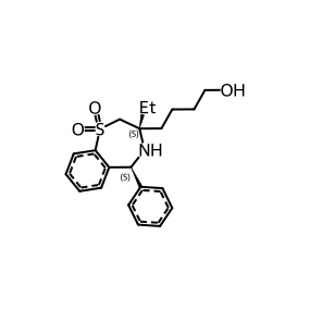 CC[C@]1(CCCCO)CS(=O)(=O)c2ccccc2[C@H](c2ccccc2)N1